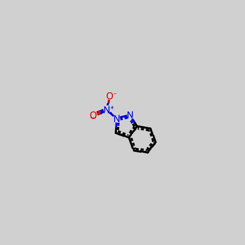 O=[N+]([O-])n1cc2ccccc2n1